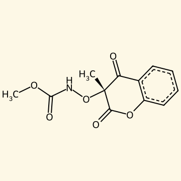 COC(=O)NO[C@@]1(C)C(=O)Oc2ccccc2C1=O